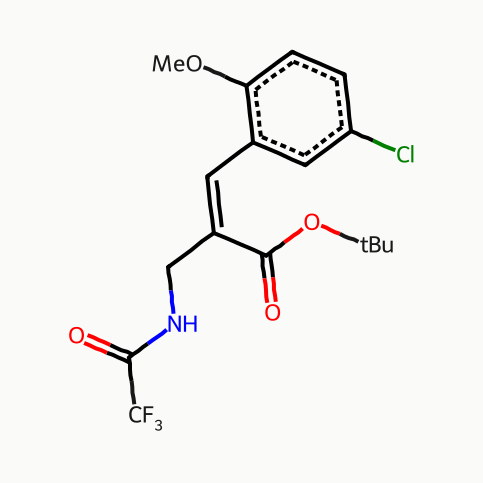 COc1ccc(Cl)cc1C=C(CNC(=O)C(F)(F)F)C(=O)OC(C)(C)C